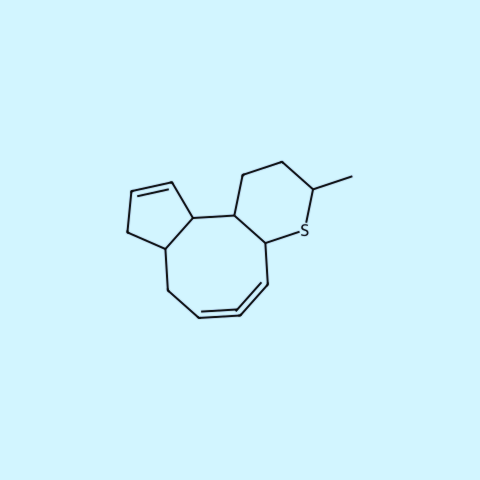 CC1CCC2C(C=C=CCC3CC=CC32)S1